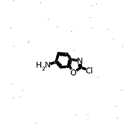 Nc1ccc2nc(Cl)oc2c1